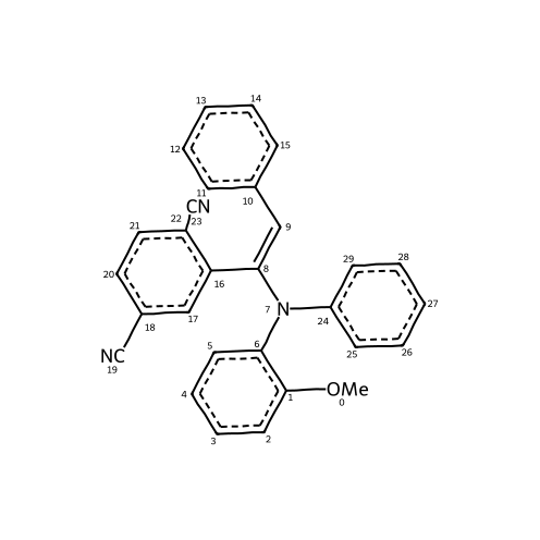 COc1ccccc1N(C(=Cc1ccccc1)c1cc(C#N)ccc1C#N)c1ccccc1